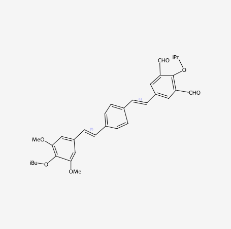 CCC(C)Oc1c(OC)cc(/C=C/c2ccc(/C=C/c3cc(C=O)c(OC(C)C)c(C=O)c3)cc2)cc1OC